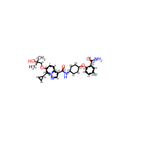 CC(C)(O)COc1ccc2c(C(=O)NC3CCC(Oc4ccc(F)cc4C(N)=O)CC3)cnn2c1C1CC1